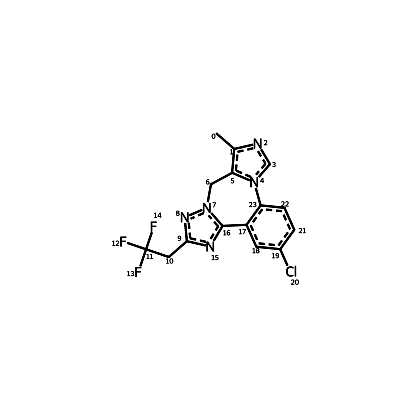 Cc1ncn2c1Cn1nc(CC(F)(F)F)nc1-c1cc(Cl)ccc1-2